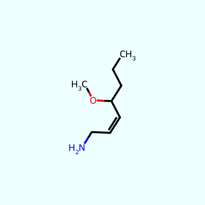 CCCC(/C=C\CN)OC